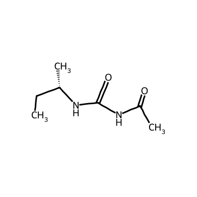 CC[C@H](C)NC(=O)NC(C)=O